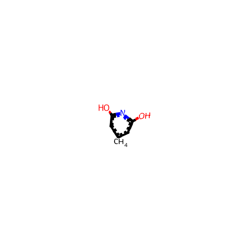 C.Oc1cccc(O)n1